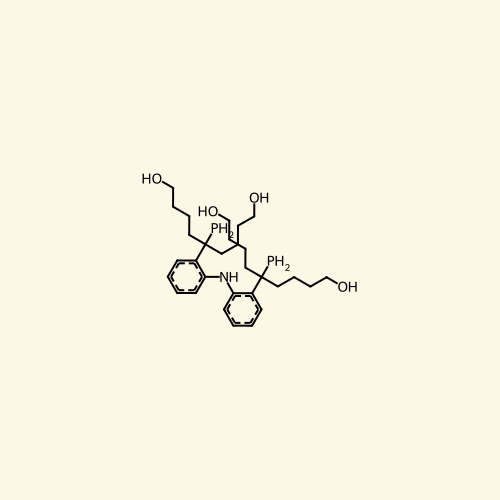 OCCCCC(P)(CCCCO)c1ccccc1Nc1ccccc1C(P)(CCCCO)CCCCO